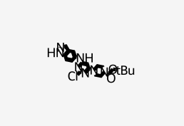 CC(C)(C)OC(=O)N1CCN(c2cc(Nc3ccc4[nH]ncc4c3)nc(Cl)n2)CC1